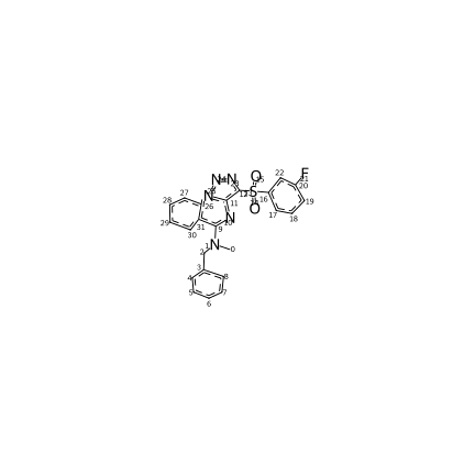 CN(Cc1ccccc1)c1nc2c(S(=O)(=O)c3cccc(F)c3)nnn2c2ccccc12